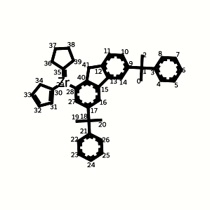 CC(C)(c1ccccc1)c1ccc2c(c1)-c1cc(C(C)(C)c3ccccc3)c[c]([Zr]([C]3=CC=CC3)=[C]3CCCC3)c1C2